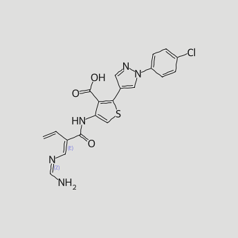 C=C/C(=C\N=C/N)C(=O)Nc1csc(-c2cnn(-c3ccc(Cl)cc3)c2)c1C(=O)O